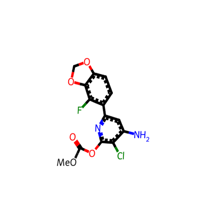 COC(=O)Oc1nc(-c2ccc3c(c2F)OCO3)cc(N)c1Cl